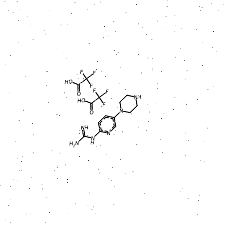 N=C(N)Nc1ccc(N2CCNCC2)cn1.O=C(O)C(F)(F)F.O=C(O)C(F)(F)F